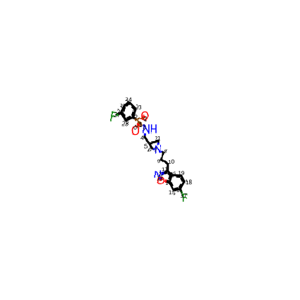 O=S(=O)(NCC1CN(CCCc2noc3cc(F)ccc23)C1)c1cccc(F)c1